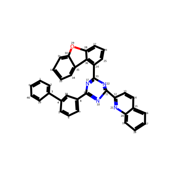 c1ccc(-c2cccc(-c3nc(-c4ccc5ccccc5n4)nc(-c4cccc5oc6ccccc6c45)n3)c2)cc1